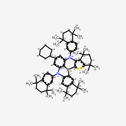 CC1(C)CCC(C)(C)c2cc(N3c4cc5c(cc4B4c6sc7c(c6N(c6ccc8c(c6)C(C)(C)CCC8(C)C)c6cc(C8CCCCC8)cc3c64)C(C)(C)CCC7(C)C)C(C)(C)CCC5(C)C)ccc21